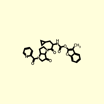 Cc1c(OC(=O)NC(CC2CC2)C(=O)N2CCC3C2C(=O)CN3C(=O)c2ccccn2)oc2ccccc12